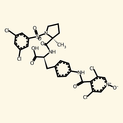 C[C@@]1(C(=O)N[C@@H](Cc2ccc(NC(=O)c3c(Cl)c[n+]([O-])cc3Cl)cc2)C(=O)O)CCCN1S(=O)(=O)c1cc(Cl)cc(Cl)c1